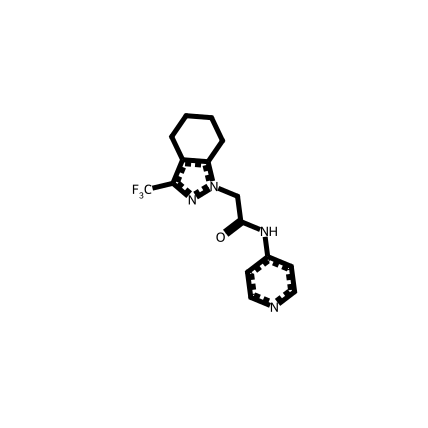 O=C(Cn1nc(C(F)(F)F)c2c1CCCC2)Nc1ccncc1